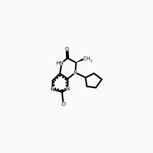 C[C@@H]1C(=O)Nc2cnc(Cl)nc2N1C1CCCC1